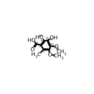 COc1c(C)c(C(=O)O)c(O)c(O)c1OC